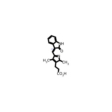 CC1=C(CCC(=O)O)C(C)N=C1/C=C1\C(=O)Nc2ccccc21